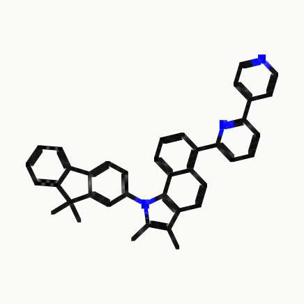 Cc1c(C)n(-c2ccc3c(c2)C(C)(C)c2ccccc2-3)c2c1ccc1c(-c3cccc(-c4ccncc4)n3)cccc12